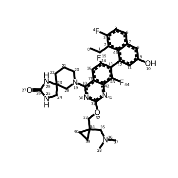 CCc1c(F)ccc2cc(O)cc(-c3c(F)cc4c(N5CCCC6(CNC(=O)N6)C5)nc(OCC5(CN(C)C)CC5)nc4c3F)c12